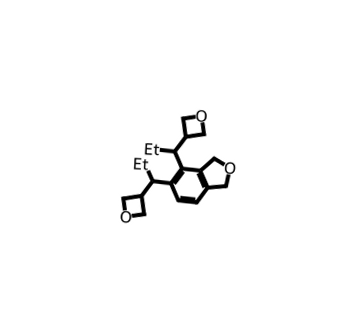 CCC(c1ccc2c(c1C(CC)C1COC1)COC2)C1COC1